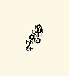 O=C(Nc1cccc(NCCCO)c1N1CCCCC1)c1cnn2cccnc12